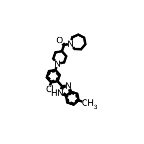 Cc1ccc2[nH]c(-c3cc(N4CCC(C(=O)N5CCCCCC5)CC4)ccc3Cl)nc2c1